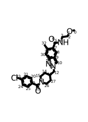 COCCNC(=O)c1cc2cn(CC3CCN(C(=O)c4ccc(Cl)cc4)CC3)nc2cc1C